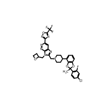 CC1(c2ccc(Cl)cc2F)Oc2cccc(C3CCN(Cc4nc5cc(-c6noc(C(F)(F)F)n6)nnc5n4CC4CCO4)CC3)c2O1